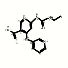 CCNC(=O)Nc1cc(Nc2cccnc2)c(C(=O)O)cn1